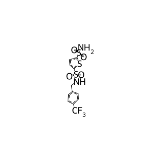 NS(=O)(=O)c1ccc(S(=O)(=O)NCc2ccc(C(F)(F)F)cc2)s1